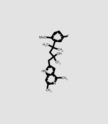 COc1ccc(F)cc1C(C)(C)CC(O)(Cc1cc2c(C)nc(C)cc2[nH]1)C(F)(F)F